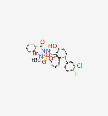 CC(C)(C)[N+](Br)(N([N]C(=O)c1cc(-c2ccc(F)c(Cl)c2)ccc1O)C(=O)c1ccccc1)S(=O)(=O)c1ccccc1